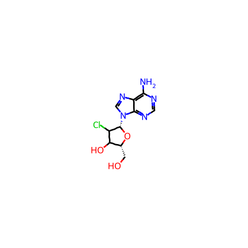 Nc1ncnc2c1ncn2[C@@H]1O[C@H](CO)C(O)C1Cl